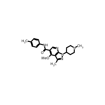 COc1c(C(=O)Nc2ccc(C)cc2)cnc2c1c(C)nn2C1CCN(C)CC1